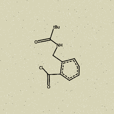 CC(C)(C)C(=O)NCc1ccccc1C(=O)Cl